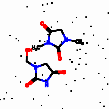 CN1CC(=O)N(C)C1=O.O=C1CN(CO)C(=O)N1